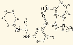 Cc1ccc(NC(=O)NC2CCCCC2)cc1C(=O)c1cn(C(C)C)c2ncnc(N)c12